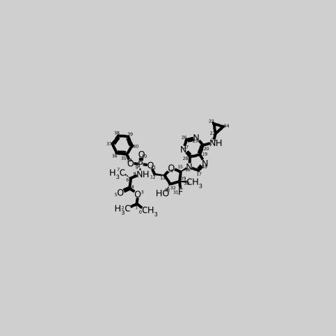 CC(C)OC(=O)[C@H](C)N[P@](=O)(OC[C@H]1O[C@@H](n2cnc3c(NC4CC4)ncnc32)[C@](C)(F)[C@@H]1O)Oc1ccccc1